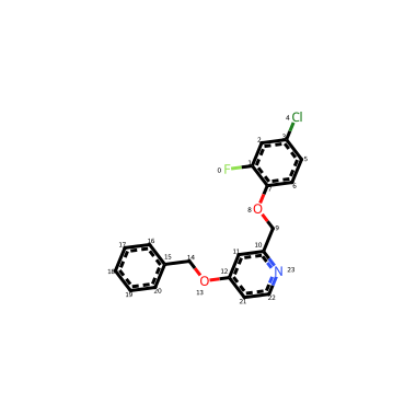 Fc1cc(Cl)ccc1OCc1cc(OCc2ccccc2)ccn1